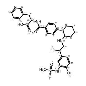 CS(=O)(=O)Nc1cc(C(O)CNC2CCCCN2c2ccc(C(=O)N[C@H](Cc3ccccc3)C(=O)O)cc2)ccc1O